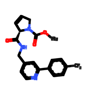 CC(C)(C)OC(=O)N1CC=C[C@H]1C(=O)NCc1ccnc(-c2ccc(C(F)(F)F)cc2)c1